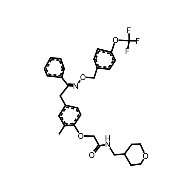 Cc1cc(CC(=NOCc2ccc(OC(F)(F)F)cc2)c2ccccc2)ccc1OCC(=O)NCC1CCOCC1